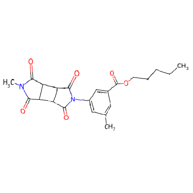 CCCCCOC(=O)c1cc(C)cc(N2C(=O)C3C4C(=O)N(C)C(=O)C4C3C2=O)c1